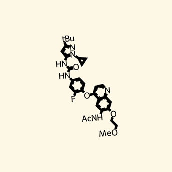 COCCOc1cc2nccc(Oc3ccc(NC(=O)Nc4cc(C(C)(C)C)nn4C4CC4)cc3F)c2cc1NC(C)=O